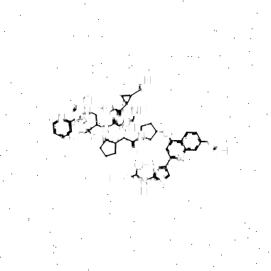 CCC1C[C@]1(NC(=O)[C@@H]1C[C@@H](Oc2cc(-c3csc(NC(C)C)n3)nc3cc(OC)ccc23)CN1C(=O)[C@@H](NC(=O)NC(CN(C)S(=O)(=O)c1ccccn1)C(C)(C)C)C1CCCC1)C(=O)O